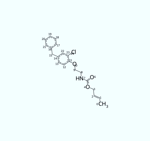 CC=CCOC(=O)NCCOc1ccc(Cc2ccccc2)cc1Cl